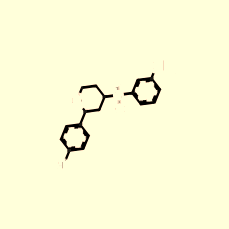 O=S(=O)(c1cccc(C(F)(F)F)c1)C1CCOC(c2ccc(Br)cc2)C1